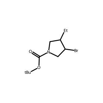 CCC1CN(C(=O)OC(C)(C)C)CC1Br